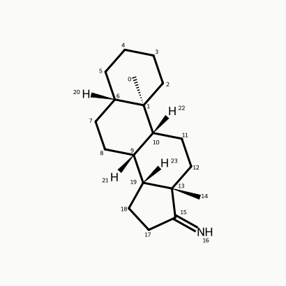 C[C@@]12CCCC[C@H]1CC[C@@H]1[C@H]2CC[C@]2(C)C(=N)CC[C@H]12